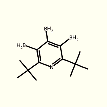 Bc1c(C(C)(C)C)nc(C(C)(C)C)c(B)c1B